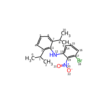 CC(C)c1cccc(C(C)C)c1Nc1cccc(Br)c1[N+](=O)[O-]